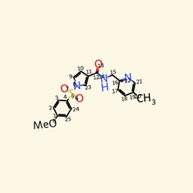 COc1ccc(S(=O)(=O)n2ccc(C(=O)NCc3ccc(C)cn3)c2)cc1